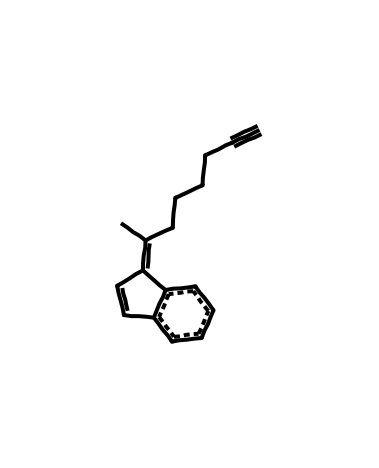 C#CCCCCC(C)=C1C=Cc2ccccc21